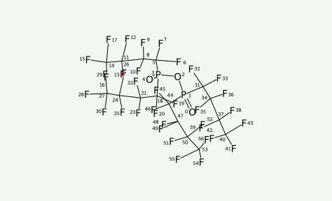 O=P(OP(=O)(C(F)(F)C(F)(F)C(F)(F)C(F)(F)F)C(F)(F)C(F)(F)C(F)(F)C(F)(F)F)(C(F)(F)C(F)(F)C(F)(F)C(F)(F)F)C(F)(F)C(F)(F)C(F)(F)C(F)(F)F